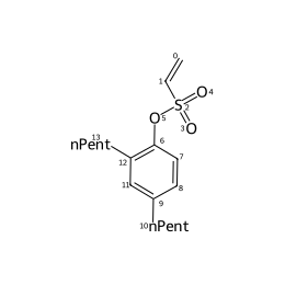 C=CS(=O)(=O)Oc1ccc(CCCCC)cc1CCCCC